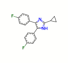 Fc1ccc(-c2nc(C3CC3)[nH]c2-c2ccc(F)cc2)cc1